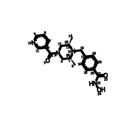 C[C@@H]1CN(C(=O)c2cccnc2)C[C@H](C)N1Cc1ccc(C(=O)NO)cc1